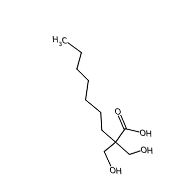 CCCCCCCC(CO)(CO)C(=O)O